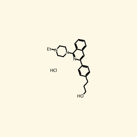 CCN1CCN(c2nc(-c3ccc(CCCO)cc3)cc3ccccc23)CC1.Cl